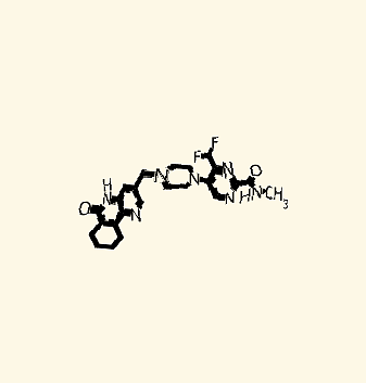 CNC(=O)c1ncc(N2CCN(Cc3cnc4c5c(c(=O)[nH]c4c3)CCCC5)CC2)c(C(F)F)n1